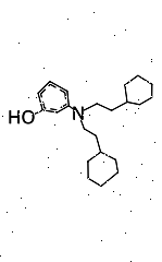 Oc1cccc(N(CCC2CCCCC2)CCC2CCCCC2)c1